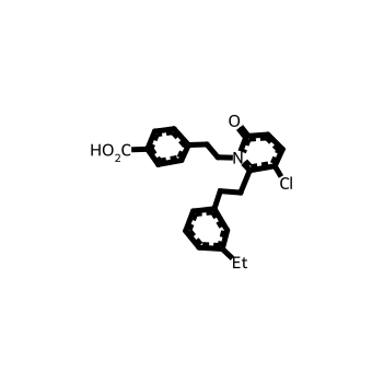 CCc1cccc(CCc2c(Cl)ccc(=O)n2CCc2ccc(C(=O)O)cc2)c1